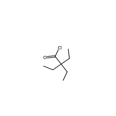 CCC(CC)(CC)C(=O)Cl